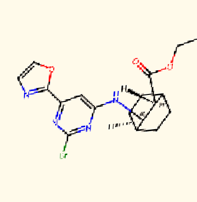 CCOC(=O)[C@@H]1C2CCC(CC2)[C@H]1Nc1cc(-c2ncco2)nc(Br)n1